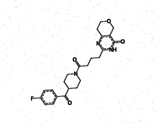 O=C(c1ccc(F)cc1)C1CCN(C(=O)CCCc2nc3c(c(=O)[nH]2)COCC3)CC1